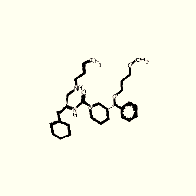 CCCCNC[C@H](CC1CCCCC1)NC(=O)N1CCC[C@@H](C(OCCCOC)c2ccccc2)C1